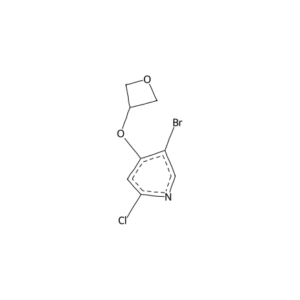 Clc1cc(OC2COC2)c(Br)cn1